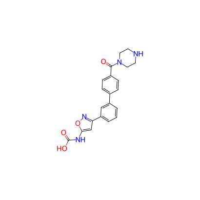 O=C(O)Nc1cc(-c2cccc(-c3ccc(C(=O)N4CCNCC4)cc3)c2)no1